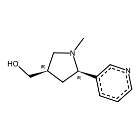 CN1C[C@H](CO)C[C@@H]1c1cccnc1